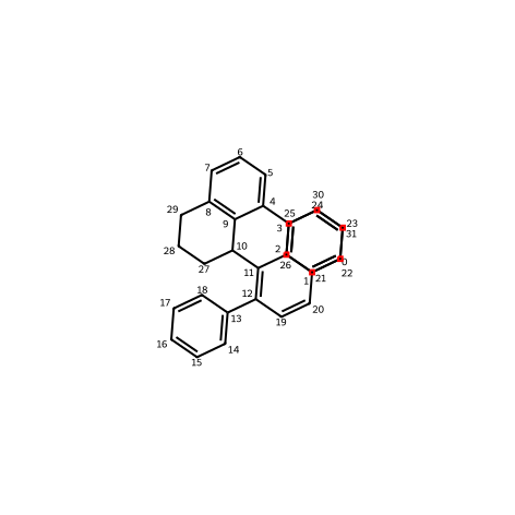 c1ccc(-c2cccc3c2C(c2c(-c4ccccc4)ccc4ccccc24)CCC3)cc1